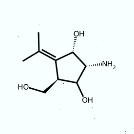 CC(C)=C1[C@H](CO)C(O)[C@@H](N)[C@H]1O